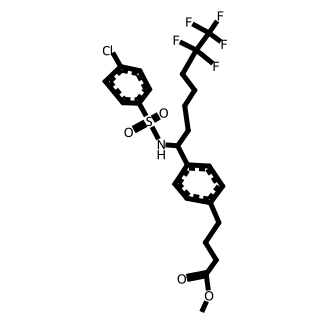 COC(=O)CCCc1ccc(C(CCCCC(F)(F)C(F)(F)F)NS(=O)(=O)c2ccc(Cl)cc2)cc1